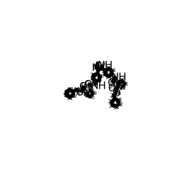 O=C(Nc1ccc(-c2nc[nH]c2-c2ccc(NC(=O)[C@@H]3CCCN3C(=O)OCc3ccccc3)cc2)cc1)[C@@H]1CCCN1C(=O)OCc1ccccc1